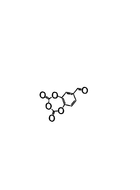 O=Cc1ccc2c(c1)OC(=O)OC(=O)O2